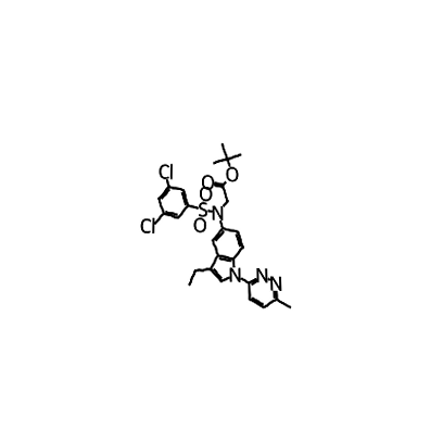 CCc1cn(-c2ccc(C)nn2)c2ccc(N(CC(=O)OC(C)(C)C)S(=O)(=O)c3cc(Cl)cc(Cl)c3)cc12